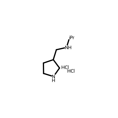 CC(C)NCC1CCNC1.Cl.Cl